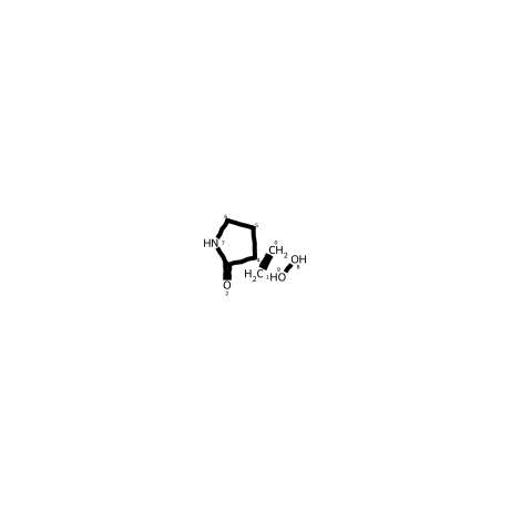 C=C.O=C1CCCN1.OO